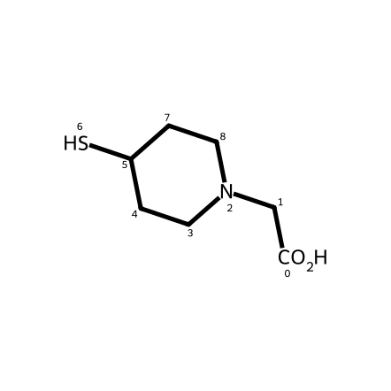 O=C(O)CN1CCC(S)CC1